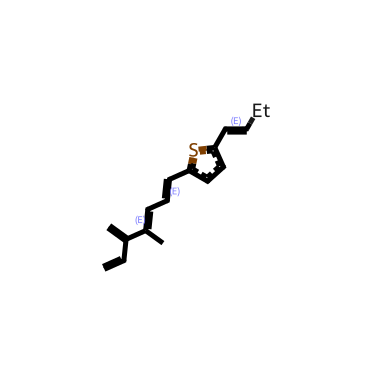 C=CC(=C)/C(C)=C/C=C/c1ccc(/C=C/CC)s1